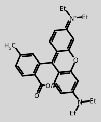 CCN(CC)c1ccc2c(-c3cc(C)ccc3C(=O)OC)c3ccc(=[N+](CC)CC)cc-3oc2c1